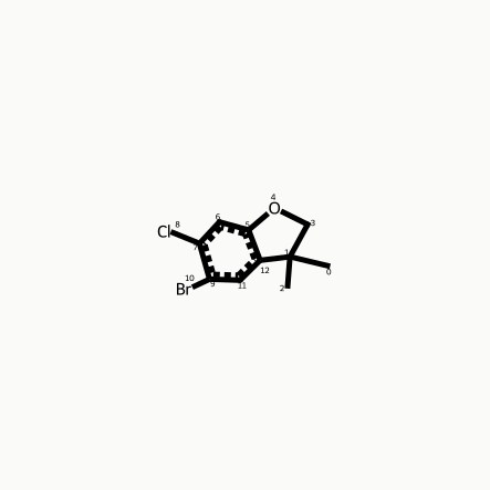 CC1(C)COc2cc(Cl)c(Br)cc21